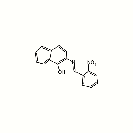 O=[N+]([O-])c1ccccc1N=Nc1ccc2ccccc2c1O